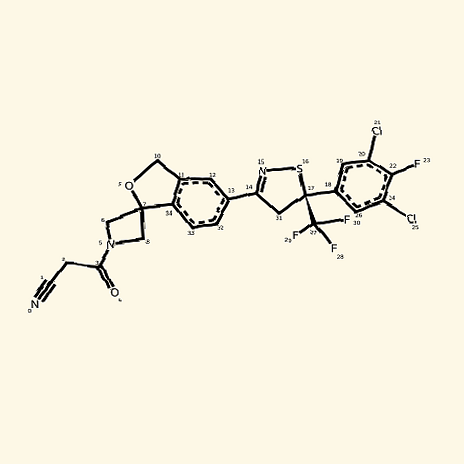 N#CCC(=O)N1CC2(C1)OCc1cc(C3=NS[C@@](c4cc(Cl)c(F)c(Cl)c4)(C(F)(F)F)C3)ccc12